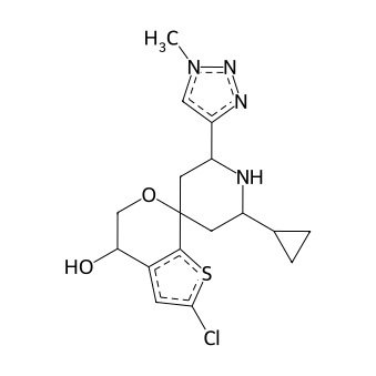 Cn1cc(C2CC3(CC(C4CC4)N2)OCC(O)c2cc(Cl)sc23)nn1